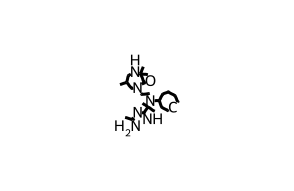 C/C(N)=N/C(=N)C(C)(C)N(CCN1CC(C)CNC(C)(C)C1=O)C1CCCCCCC1